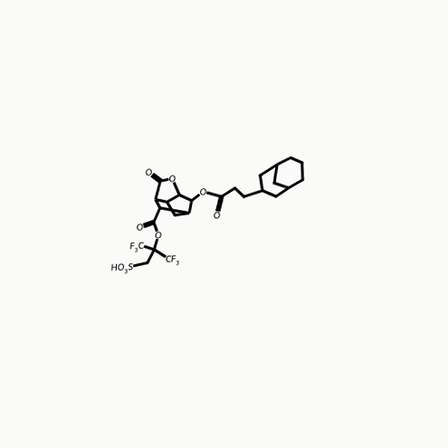 O=C(CCC1CC2CCCC(C2)C1)OC1C2CC3C1OC(=O)C3C2C(=O)OC(CS(=O)(=O)O)(C(F)(F)F)C(F)(F)F